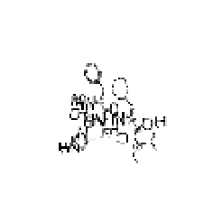 CC[C@@H](C[C@@H](O)[C@H](CC1CCCCC1)NC(=O)[C@H](Cc1c[nH]cn1)NC(=O)[C@H](Cc1ccccc1)NC(=O)O)C(C)C